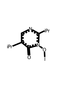 CC(C)c1cnc(C(C)C)n(OI)c1=O